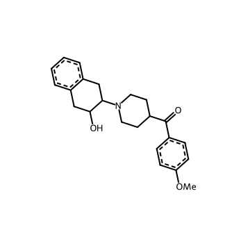 COc1ccc(C(=O)C2CCN(C3Cc4ccccc4CC3O)CC2)cc1